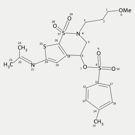 COCCCN1CC(OS(=O)(=O)c2ccc(C)cc2)c2cc(N=C(C)C)sc2S1(=O)=O